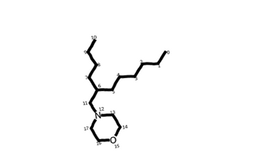 CCCCCCC(CCCC)CN1CCOCC1